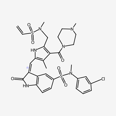 C=CS(=O)(=O)N(C)Cc1[nH]c(/C=C2/C(=O)Nc3ccc(S(=O)(=O)N(C)c4cccc(Cl)c4)cc32)c(C)c1C(=O)N1CCN(C)CC1